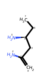 C=C(N)C[C@@H](N)CC